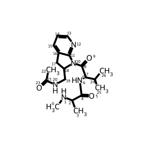 CNC(C)C(=O)N[C@H](C(=O)N1c2ncccc2CC1CNC(C)=O)C(C)C